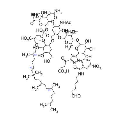 C=C(C/C=C(\C)CCC=C(C)C)CCC(C)(C)/C=C/CC/C(C)=C/COC(COP(=O)(O)OC1OC(C(N)=O)C(C)(O)C(OC(N)=O)C1OC1CC(COC2CC(CO)C(O)C(O)C2O)C(OC2OC(C)C(OC3OC(c4nc(C(=O)CCC(=O)O)nn4-c4ccc([N+](=O)[O-])cc4C(=O)NCCCCCC=O)C(O)C(O)C3O)C(O)C2NC(C)=O)C(O)C1NC(C)=O)C(=O)O